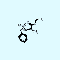 CCOC(=O)[C@@H](C)NP(C)(=O)Oc1ccccc1